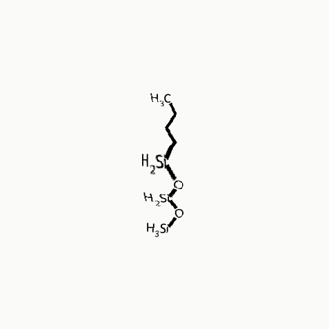 CCCC[SiH2]O[SiH2]O[SiH3]